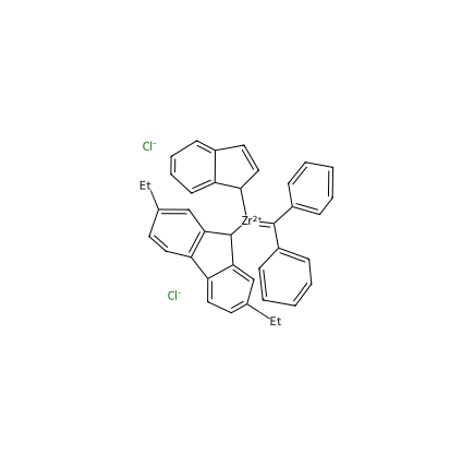 CCc1ccc2c(c1)[CH]([Zr+2](=[C](c1ccccc1)c1ccccc1)[CH]1C=Cc3ccccc31)c1cc(CC)ccc1-2.[Cl-].[Cl-]